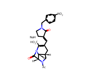 CC(=O)N1C[C@H]2CC(/C=C3\CCN(Cc4ccc([N+](=O)[O-])cc4)C3=O)=C(C(=O)O)N3C(=O)[C@@H]1[C@@H]23.[NaH]